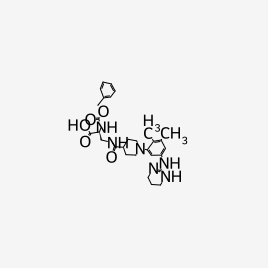 Cc1cc(NC2=NCCCN2)cc(N2CCC(C(=O)NC[C@H](NC(=O)OCc3ccccc3)C(=O)O)CC2)c1C